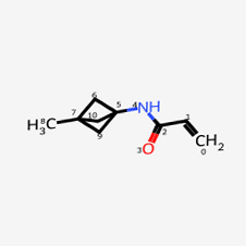 C=CC(=O)NC12CC(C)(C1)C2